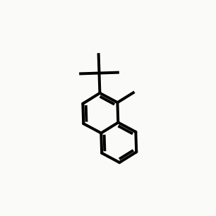 Cc1c(C(C)(C)C)ccc2ccccc12